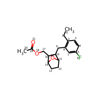 CCc1ccc(F)cc1CC1C2CCC(O2)C1COC(C)=O